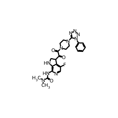 CN(C)C(=O)Nc1ncc(F)c2c1NCC2C(=O)C(=O)N1CCN(c2nnnn2-c2ccccc2)CC1